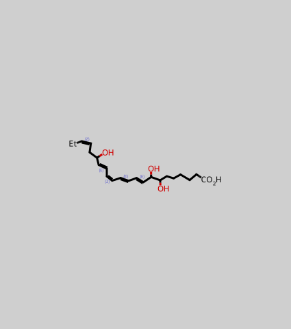 CC/C=C\CC(O)/C=C/C=C\C=C\C=C\C(O)C(O)CCCCCC(=O)O